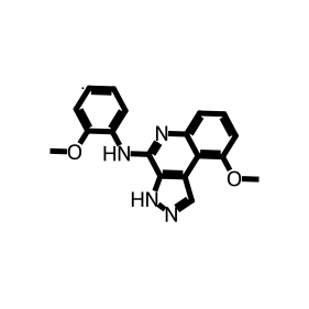 COc1c[c]ccc1Nc1nc2cccc(OC)c2c2cn[nH]c12